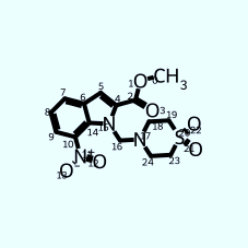 COC(=O)c1cc2cccc([N+](=O)[O-])c2n1CN1CCS(=O)(=O)CC1